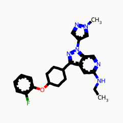 CCNc1cc2c(C3CCC(Oc4ccccc4F)CC3)nn(-c3cnn(C)c3)c2cn1